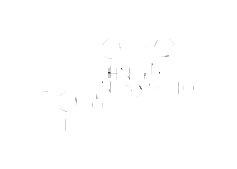 C[C@H](NC(=O)Cc1cc(F)cc(F)c1)C(=O)N[C@H]1C(=O)N(CC=O)c2ccccc2O[C@H]1c1ccccc1